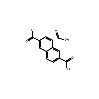 O=C(O)c1ccc2cc(C(=O)O)ccc2c1.O=CO